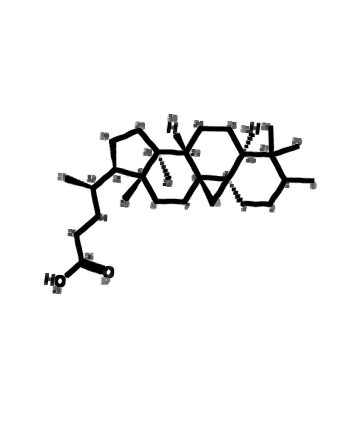 CC1CC[C@]23C[C@]24CC[C@]2(C)[C@@H]([C@H](C)CCC(=O)O)CC[C@@]2(C)[C@@H]4CC[C@H]3C1(C)C